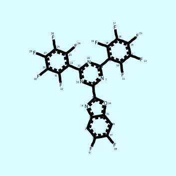 Fc1cc2nc(-c3nc(-c4c(F)c(F)c(F)c(F)c4F)nc(-c4c(F)c(F)c(F)c(F)c4F)n3)oc2cc1F